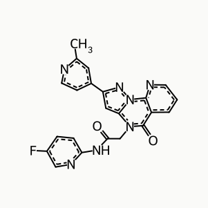 Cc1cc(-c2cc3n(CC(=O)Nc4ccc(F)cn4)c(=O)c4cccnc4n3n2)ccn1